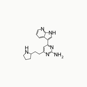 Nc1nc(CCC2CCCN2)cc(-c2c[nH]c3ncccc23)n1